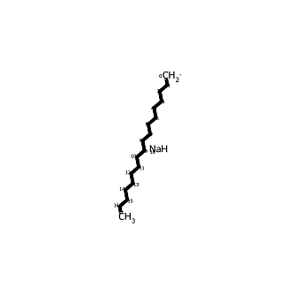 [CH2]CCCCCCCCCCCCCCCCC.[NaH]